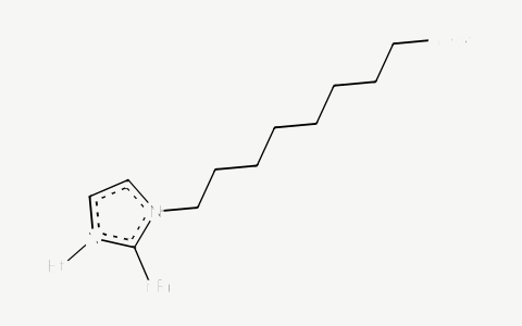 CCCCCCCCCCCCCCCCCCn1cc[n+](CC)c1CCC